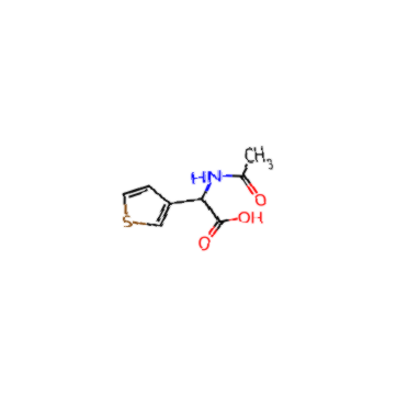 CC(=O)NC(C(=O)O)c1ccsc1